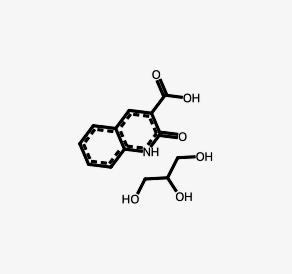 O=C(O)c1cc2ccccc2[nH]c1=O.OCC(O)CO